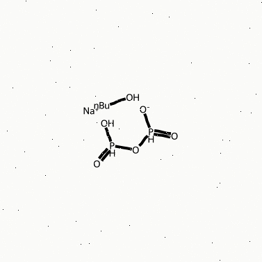 CCCCO.O=[PH]([O-])O[PH](=O)O.[Na+]